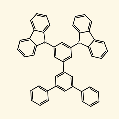 c1ccc(-c2cc(-c3ccccc3)cc(-c3cc(-n4c5ccccc5c5ccccc54)cc(-n4c5ccccc5c5ccccc54)c3)c2)cc1